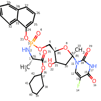 C[C@H](NP(=O)(OC[C@H]1O[C@@](C)(n2cc(F)c(=O)[nH]c2=O)CC1O)Oc1cccc2ccccc12)C(=O)OC1CCCCC1